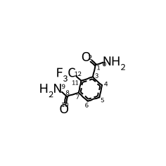 NC(=O)c1cccc(C(N)=O)c1C(F)(F)F